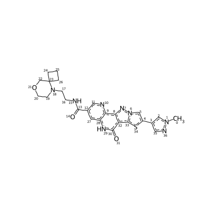 Cn1cc(-c2cn3nc4c5ncc(C(=O)NCCN6CCOCC67CCC7)cc5[nH]c(=O)c4c3s2)cn1